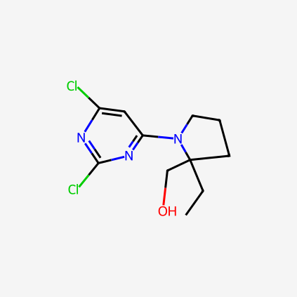 CCC1(CO)CCCN1c1cc(Cl)nc(Cl)n1